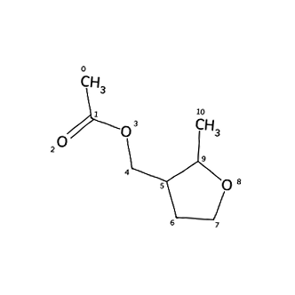 CC(=O)OCC1CCOC1C